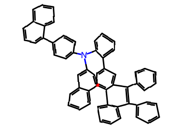 c1ccc(-c2c(-c3ccccc3)c3cc(-c4ccccc4N(c4ccc(-c5cccc6ccccc56)cc4)c4ccc5ccccc5c4)ccc3c3ccccc23)cc1